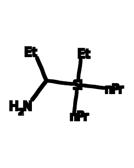 CCC[Si](CC)(CCC)C(N)CC